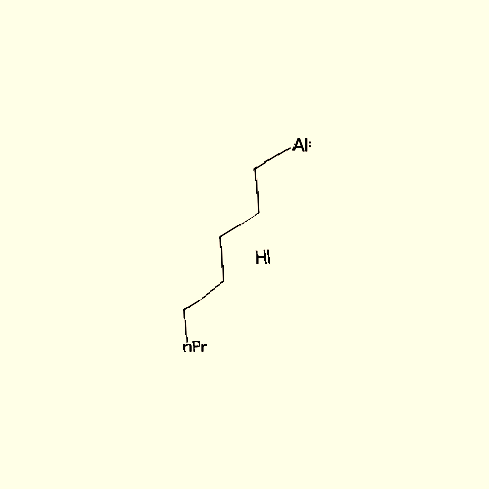 CCCCCCC[CH2][Al].I